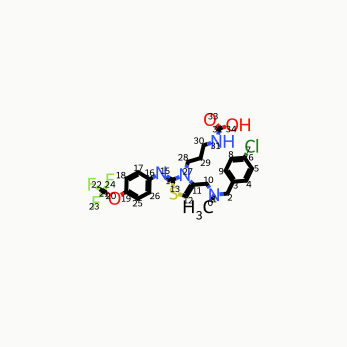 CN(Cc1ccc(Cl)cc1)Cc1cs/c(=N\c2ccc(OC(F)(F)F)cc2)n1CCCNC(=O)O